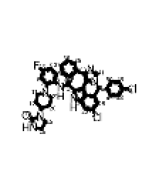 O=C(Nc1ccc(F)cc1N1CCC(N2CCNC2=O)CC1)c1[nH]c2cc(Cl)cc3c2c1-c1c(-c2ccccc2)ncn1[C@@H]3c1ccc(Cl)cc1